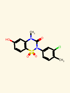 Cc1ccc(N2C(=O)N(C)c3cc(O)ccc3S2(=O)=O)cc1Cl